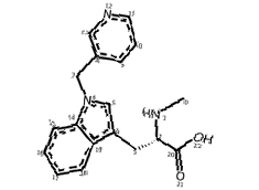 CN[C@@H](Cc1cn(Cc2cccnc2)c2ccccc12)C(=O)O